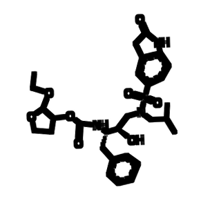 CCOC1OCCC1OC(=O)N[C@@H](Cc1ccccc1)[C@H](O)CN(CC(C)C)S(=O)(=O)c1ccc2c(c1)CC(=O)N2